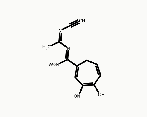 C#C/N=C(C)\N=C(/NC)C1=CC(N=O)=C(O)C=CC1